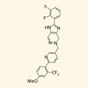 COc1ccc(-c2ccc(CN3Cc4nc(-c5cccc(F)c5F)[nH]c4C=N3)cn2)c(C(F)(F)F)c1